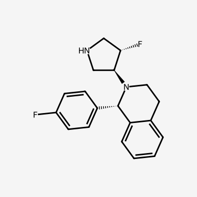 Fc1ccc([C@H]2c3ccccc3CCN2[C@H]2CNC[C@@H]2F)cc1